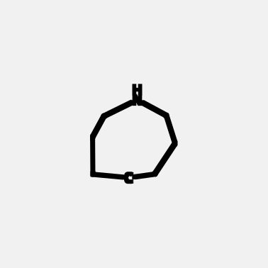 C1CCCNCCC1